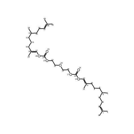 CC(C)=CCCC(C)CCC/C(C)=C/OC(=O)OCCOCCOC(=O)O/C=C(\C)CCCC(C)CCC=C(C)C